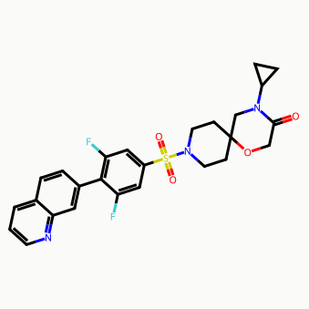 O=C1COC2(CCN(S(=O)(=O)c3cc(F)c(-c4ccc5cccnc5c4)c(F)c3)CC2)CN1C1CC1